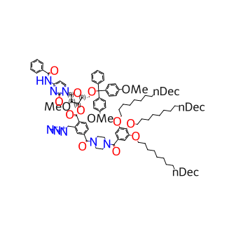 CCCCCCCCCCCCCCCCCCOc1cc(C(=O)N2CCN(C(=O)c3ccc(C(=O)O[C@H]4[C@@H](OC)[C@H](n5ccc(NC(=O)c6ccccc6)nc5=O)O[C@@H]4COC(c4ccccc4)(c4ccc(OC)cc4)c4ccc(OC)cc4)c(CN=[N+]=[N-])c3)CC2)cc(OCCCCCCCCCCCCCCCCCC)c1OCCCCCCCCCCCCCCCCCC